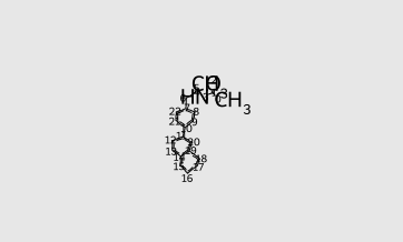 CC(=O)NC(C)Cc1ccc(-c2ccc3ccccc3c2)cc1